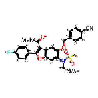 CNC(=O)c1c(-c2ccc(F)cc2)oc2cc(N(COC)S(C)(=O)=O)c(OCc3ccc(C#N)cc3)cc12